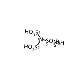 O=S(=O)(O)N(S(=O)(=O)O)S(=O)(=O)O.[NaH]